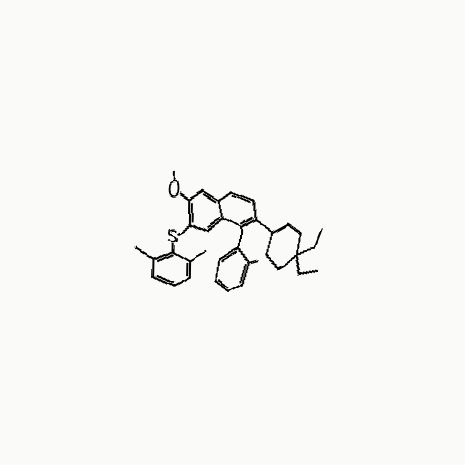 CCC1(CC)CCC(c2ccc3cc(OC)c(Sc4c(C)cccc4C)cc3c2-c2ccccc2C)CC1